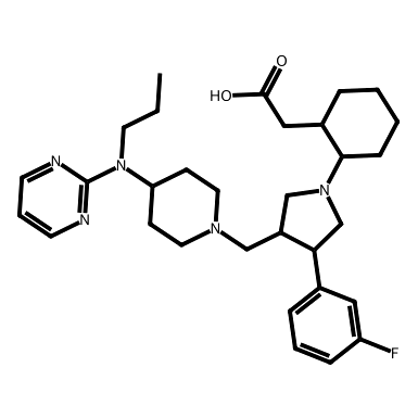 CCCN(c1ncccn1)C1CCN(CC2CN(C3CCCCC3CC(=O)O)CC2c2cccc(F)c2)CC1